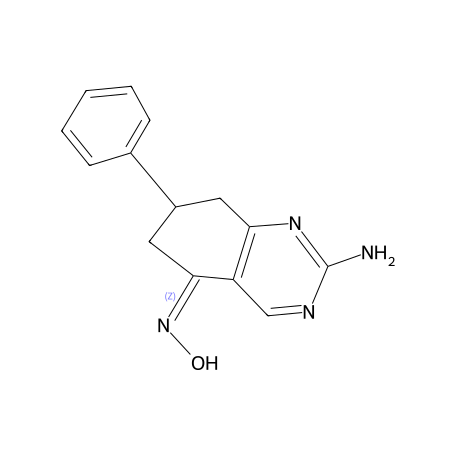 Nc1ncc2c(n1)CC(c1ccccc1)C/C2=N/O